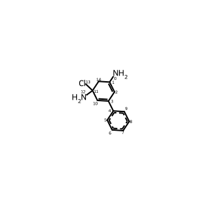 NC1=CC(c2ccccc2)=CC(N)(Cl)C1